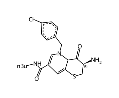 CCCCNC(=O)C1=CN(Cc2ccc(Cl)cc2)C2C(=O)[C@@H](N)CSC2=C1